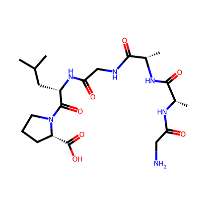 CC(C)C[C@H](NC(=O)CNC(=O)[C@H](C)NC(=O)[C@H](C)NC(=O)CN)C(=O)N1CCC[C@H]1C(=O)O